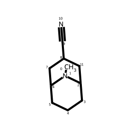 CN1C2CCCC1CC(C#N)C2